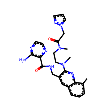 Cc1cccc2cc(CNC(=O)c3nccnc3N)c(N(C)CCN(C)C(=O)Cn3cccn3)nc12